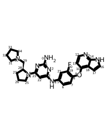 Nc1nc(Nc2ccc(Oc3ccnc4[nH]ccc34)c(F)c2)cc(N2CCC[C@H]2CN2CCCC2)n1